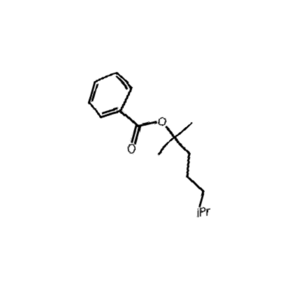 CC(C)CCCC(C)(C)OC(=O)c1ccccc1